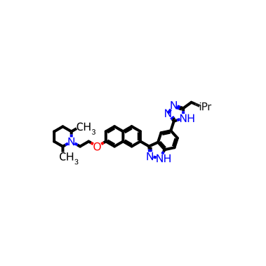 CC(C)Cc1nnc(-c2ccc3[nH]nc(-c4ccc5ccc(OCCN6C(C)CCCC6C)cc5c4)c3c2)[nH]1